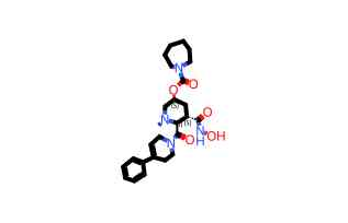 CN1C[C@@H](OC(=O)N2CCCCCC2)C[C@H](C(=O)NO)[C@H]1C(=O)N1CC=C(c2ccccc2)CC1